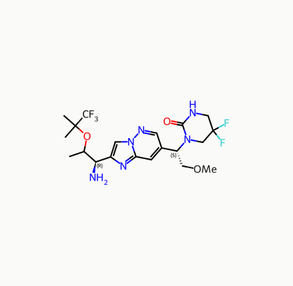 COC[C@H](c1cnn2cc([C@@H](N)C(C)OC(C)(C)C(F)(F)F)nc2c1)N1CC(F)(F)CNC1=O